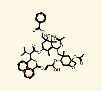 B[C@@]1(C)C([C@H](CC2(C)C[C@]3(OC(C)=O)COC3C[C@@H]2OC(O)C=C)OC(C)=O)=C(C)[C@@H](OC(=O)[C@H](C(C)C)[C@@H](NC(=O)c2ccccc2)c2ccccc2)CC1(O)COC(=O)c1ccccc1